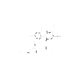 C=CCN1C(=O)C(CC(=O)O)S/C1=N\c1cc(-n2c(=O)cc(C(F)(F)F)n(C)c2=O)c(F)cc1Cl